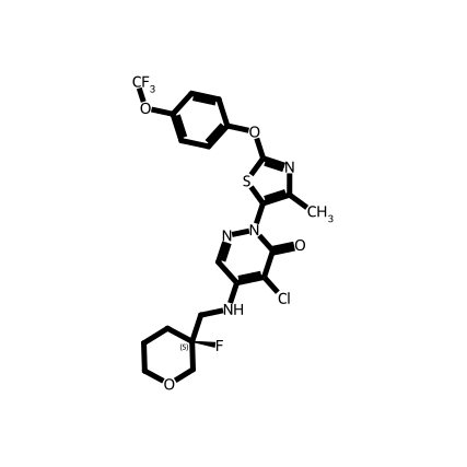 Cc1nc(Oc2ccc(OC(F)(F)F)cc2)sc1-n1ncc(NC[C@@]2(F)CCCOC2)c(Cl)c1=O